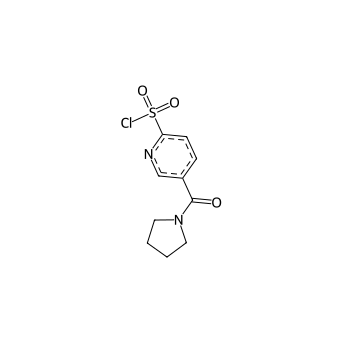 O=C(c1ccc(S(=O)(=O)Cl)nc1)N1CCCC1